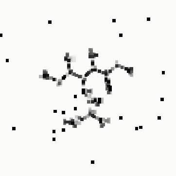 O=C(CO)C(O)C(O)C(O)CO.O=C(O)C(O)C(=O)O